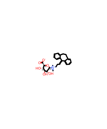 C[N+](C)(CCC=C1c2ccccc2CCc2ccccc21)[C@@H]1O[C@H](C(=O)[O-])[C@@H](O)[C@H](O)[C@H]1O